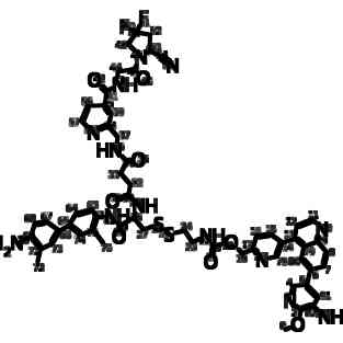 COc1ncc(-c2ccc3nccc(-c4ccc(COC(=O)NCCSSCC(NC(=O)CCC(=O)NCc5cc(C(=O)NCC(=O)N6CC(F)(F)C[C@H]6C#N)ccn5)C(=O)Nc5ccc(-c6ccc(N)c(C)c6)cc5C)nc4)c3c2)cc1N